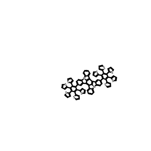 c1csc(-c2c(-c3ccc4c(c3)c3c5c6ccccc6n6c7ccc(-c8c(-c9cccs9)c(-c9cccs9)c(-c9cccs9)c(-c9cccs9)c8-c8cccs8)cc7c(c7c8ccccc8n4c73)c56)c(-c3cccs3)c(-c3cccs3)c(-c3cccs3)c2-c2cccs2)c1